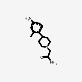 Cc1cc(N)ccc1C1CCN(CC(N)=O)CC1